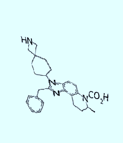 C[C@H]1CCc2c(ccc3c2nc(Cc2ccccc2)n3C2CCC3(CC2)CNC3)N1C(=O)O